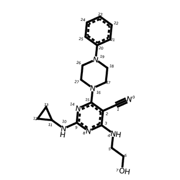 N#Cc1c(NCCO)nc(NC2CC2)nc1N1CCN(c2ccccc2)CC1